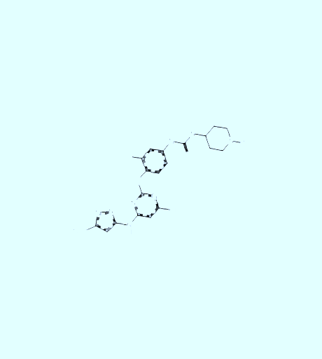 CC(=O)Oc1cc(Nc2cc(C)nc(Sc3ccc(NC(=O)NC4CCN(C(C)=O)CC4)cc3C)n2)[nH]n1